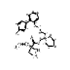 CC(C)(CN)C(=O)OC[N+]1(CCOCc2ccccc2-c2ccc(Cl)cc2)CCCCC1.Cl.[Cl-]